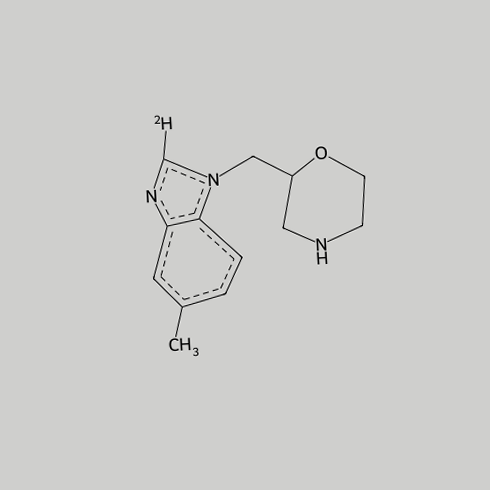 [2H]c1nc2cc(C)ccc2n1CC1CNCCO1